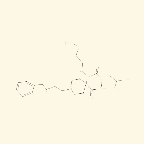 CSCCCN1C(=O)[C@H](CC(C)C)NC(=O)C12CCN(CCCCc1ccccc1)CC2